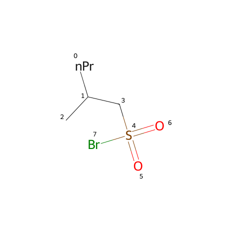 CCCC(C)CS(=O)(=O)Br